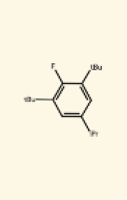 CC(C)c1cc(C(C)(C)C)c(F)c(C(C)(C)C)c1